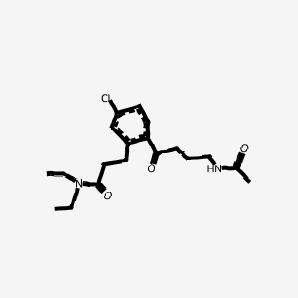 CCN(CC)C(=O)CCc1cc(Cl)ccc1C(=O)CCCNC(C)=O